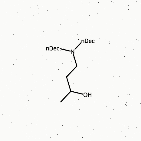 CCCCCCCCCCN(CCCCCCCCCC)CCC(C)O